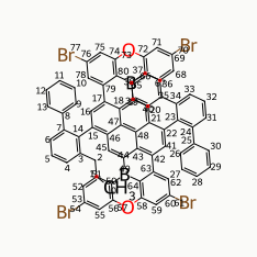 CCCc1cccc(-c2ccccc2)c1-c1cc2c3c(cc4c(-c5c(-c6ccccc6)cccc5-c5ccccc5)cc5c6c(cc1c3c46)B1c3ccc(Br)cc3Oc3cc(Br)cc-5c31)B1c3ccc(Br)cc3Oc3cc(Br)cc-2c31